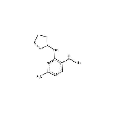 CCC(C)Nc1ccc(C(F)(F)F)nc1NC1CCCC1